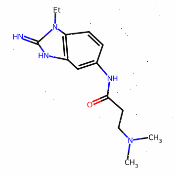 CCn1c(=N)[nH]c2cc(NC(=O)CCN(C)C)ccc21